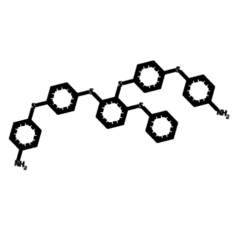 Nc1ccc(Sc2ccc(Sc3cccc(Sc4ccccc4)c3Sc3ccc(Sc4ccc(N)cc4)cc3)cc2)cc1